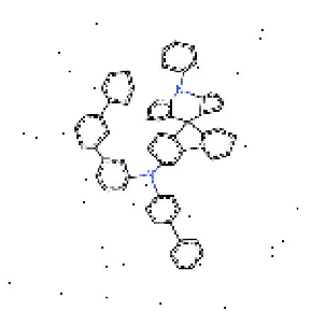 c1ccc(-c2ccc(N(c3cccc(-c4cccc(-c5ccccc5)c4)c3)c3ccc4c(c3)-c3ccccc3C43c4ccccc4N(c4ccccc4)c4ccccc43)cc2)cc1